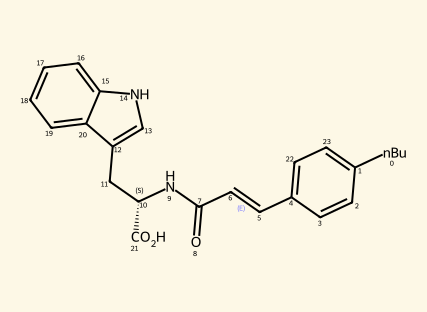 CCCCc1ccc(/C=C/C(=O)N[C@@H](Cc2c[nH]c3ccccc23)C(=O)O)cc1